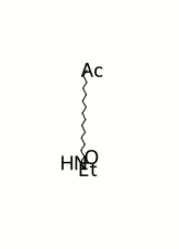 CCNC(=O)CCCCCCCCCCCCCC(C)=O